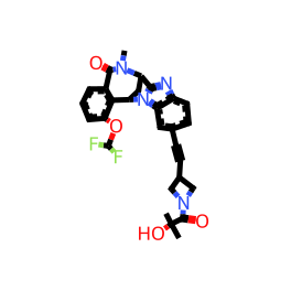 CN1C(=O)c2cccc(OC(F)F)c2C2CC1c1nc3ccc(C#CC4CN(C(=O)C(C)(C)O)C4)cc3n12